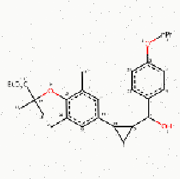 CCCOc1ccc(C(O)C2CC2c2cc(C)c(OC(C)(C)C(=O)OCC)c(C)c2)cc1